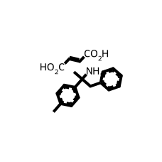 Cc1ccc(C(C)(N)Cc2ccccc2)cc1.O=C(O)C=CC(=O)O